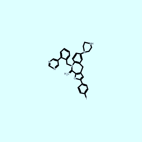 C=C1c2oc(-c3ccc(I)cc3)cc2Cc2cc(N3CCNCC3)ccc2N1Cc1ccccc1-c1cncnc1